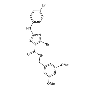 COc1cc(CNC(=O)c2sc(Nc3ccc(Br)cc3)nc2Br)cc(OC)c1